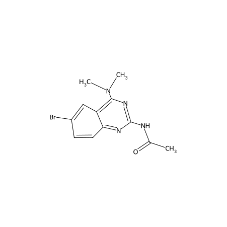 CC(=O)Nc1nc(N(C)C)c2cc(Br)ccc2n1